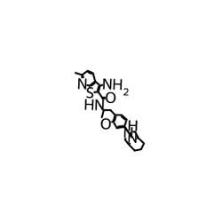 Cc1ccc2c(N)c(C(=O)N[C@@H]3COc4cc(N5CC6CCCC(C5)N6)ccc4C3)sc2n1